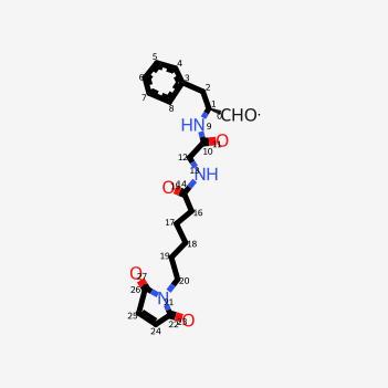 O=[C][C@H](Cc1ccccc1)NC(=O)CNC(=O)CCCCCN1C(=O)C=CC1=O